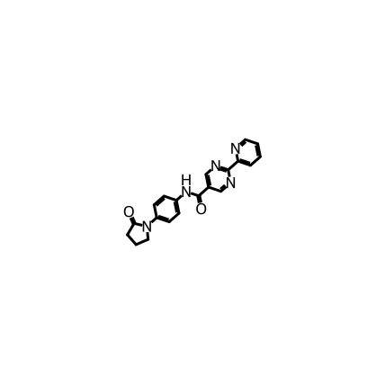 O=C(Nc1ccc(N2CCCC2=O)cc1)c1cnc(-c2ccccn2)nc1